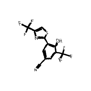 N#Cc1cc(-c2nc(C(F)(F)F)cs2)c(O)c(C(F)(F)F)c1